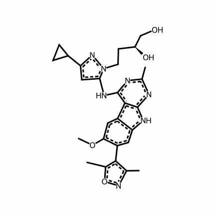 COc1cc2c(cc1-c1c(C)noc1C)[nH]c1nc(C)nc(Nc3cc(C4CC4)nn3CC[C@H](O)CO)c12